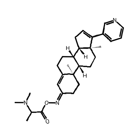 CC(C(=O)ON=C1C=C2CC[C@H]3[C@H](CC[C@]4(C)C(c5cccnc5)=CC[C@@H]34)[C@@]2(C)CC1)N(C)C